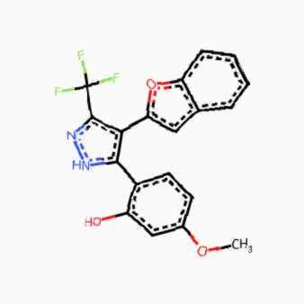 COc1ccc(-c2[nH]nc(C(F)(F)F)c2-c2cc3ccccc3o2)c(O)c1